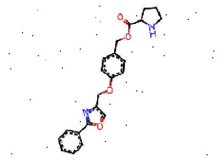 O=C(OCc1ccc(OCc2coc(-c3ccccc3)n2)cc1)C1CCCN1